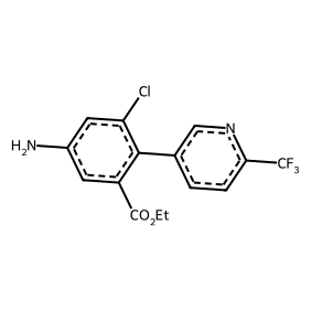 CCOC(=O)c1cc(N)cc(Cl)c1-c1ccc(C(F)(F)F)nc1